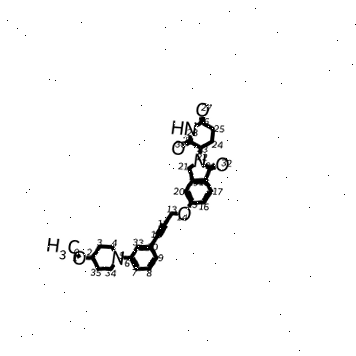 COC1CCN(c2cccc(C#CCOc3ccc4c(c3)CN(C3CCC(=O)NC3=O)C4=O)c2)CC1